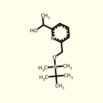 CC(O)c1cccc(CO[Si](C)(C)C(C)(C)C)n1